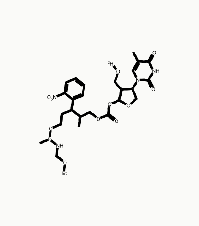 [2H]OCC1C(OC(=O)OCC(C)C(CCOP(C)NCOCC)c2ccccc2[N+](=O)[O-])OCC1n1cc(C)c(=O)[nH]c1=O